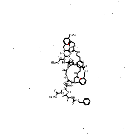 COc1ccc(C[C@H](NC(=O)[C@@H](NC(=O)C2[C@@H]3CCN2C(=O)CNC(=O)[C@@H](NC(=O)[C@@H](CNC(=O)OC(C)(C)C)NC(=O)[C@H](C)NC(=O)OCc2ccccc2)Cc2cccc(c2)CNC(=O)CO3)[C@@H](C)OC(C)(C)C)C(=O)N2CCC[C@@]2(C)C(=O)NCCc2ccc(CNC(=O)CCC(=O)O)cc2)cc1